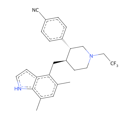 Cc1cc(C)c2[nH]ccc2c1C[C@@H]1CCN(CC(F)(F)F)C[C@H]1c1ccc(C#N)cc1